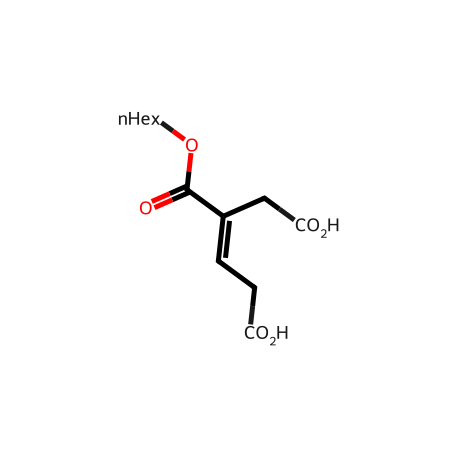 CCCCCCOC(=O)C(=CCC(=O)O)CC(=O)O